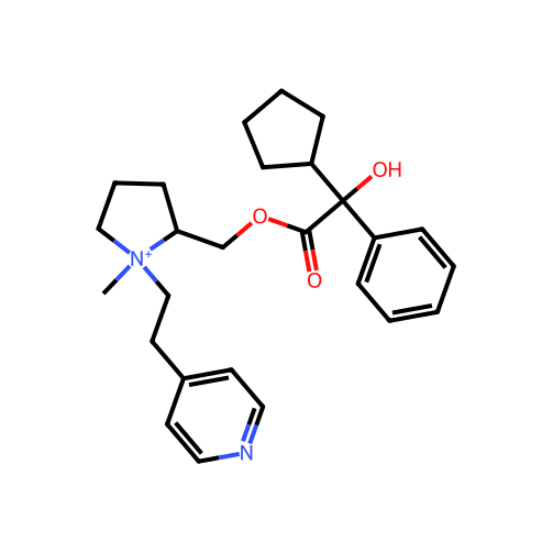 C[N+]1(CCc2ccncc2)CCCC1COC(=O)C(O)(c1ccccc1)C1CCCC1